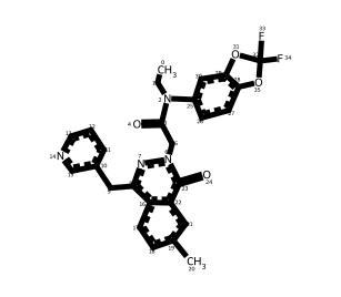 CCN(C(=O)Cn1nc(Cc2cccnc2)c2ccc(C)cc2c1=O)c1ccc2c(c1)OC(F)(F)O2